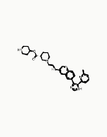 Cc1cccc(-c2[nH]cnc2-c2ccc3ncc(NCCN4CCC[C@@H](C(=O)OC5CCNCC5)C4)cc3c2)n1